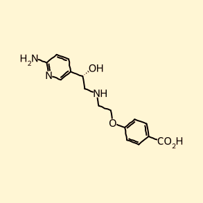 Nc1ccc([C@H](O)CNCCOc2ccc(C(=O)O)cc2)cn1